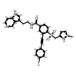 Cn1ccc(CS(=O)(=O)c2ccc(C(=O)NCCc3c[nH]c4ccncc34)cc2C#Cc2ccc(F)cc2)n1